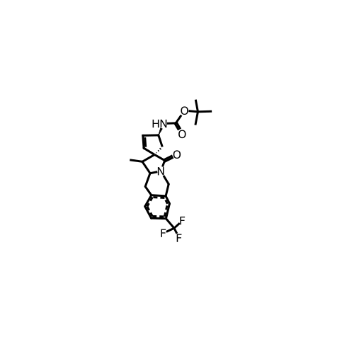 CC1C2Cc3ccc(C(F)(F)F)cc3CN2C(=O)[C@]12C=C[C@@H](NC(=O)OC(C)(C)C)C2